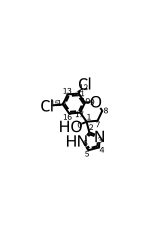 OC1(c2ncc[nH]2)CCOc2c(Cl)cc(Cl)cc21